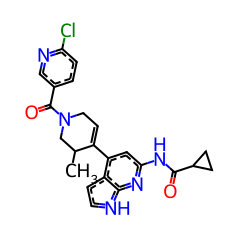 CC1CN(C(=O)c2ccc(Cl)nc2)CC=C1c1cc(NC(=O)C2CC2)nc2[nH]ccc12